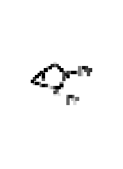 CC(C)[C@@H]1C2CC2CN1C(C)C